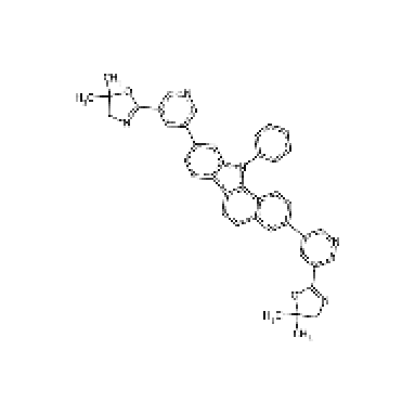 CC1(C)CN=C(c2cncc(-c3ccc4c(ccc5c6ccc(-c7cncc(C8=NCC(C)(C)O8)c7)cc6n(-c6ccccc6)c45)c3)c2)O1